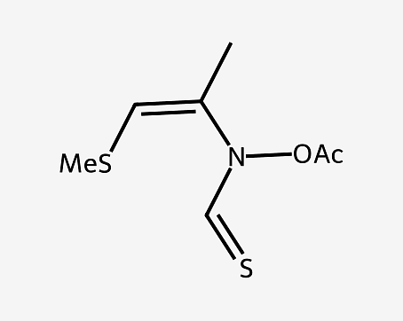 CS/C=C(/C)N(C=S)OC(C)=O